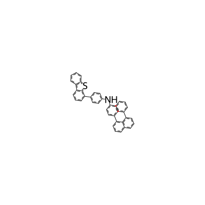 c1ccc(-c2cccc3cccc(-c4ccc(Nc5ccc(-c6cccc7c6sc6ccccc67)cc5)cc4)c23)cc1